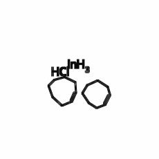 C1=C\CCCCCC/1.C1=C\CCCCCC/1.Cl.[InH3]